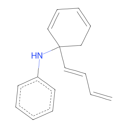 C=CC=CC1(Nc2ccccc2)C=CC=CC1